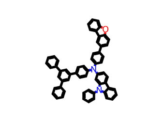 c1ccc(-c2cc(-c3ccccc3)cc(-c3ccc(N(c4ccc(-c5ccc6oc7ccccc7c6c5)cc4)c4ccc5c6ccccc6n(-c6ccccc6)c5c4)cc3)c2)cc1